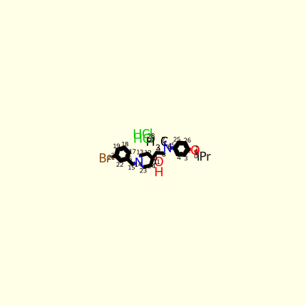 CC(C)Oc1ccc(N(C)CCC2(O)CCN(Cc3cccc(Br)c3)CC2)cc1.Cl.Cl